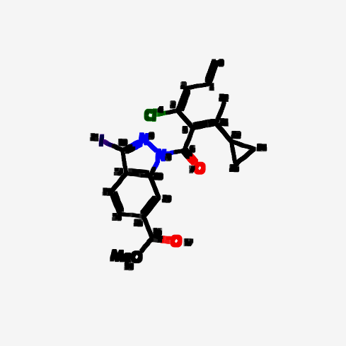 C=C/C=C(Cl)\C(C(=O)n1nc(I)c2ccc(C(=O)OC)cc21)=C(/C)C1CC1